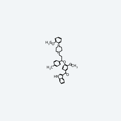 COc1cc(C(=O)c2c[nH]c3ccccc23)ccc1OC(CCN1CCN(c2ccccc2OC)CC1)c1ccc(C)cc1